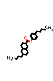 CCCCCc1ccc(OC(=O)C2CCC3CC(CCCC)CCC3C2)cc1